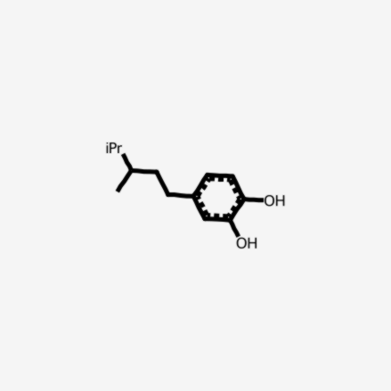 CC(C)C(C)CCc1ccc(O)c(O)c1